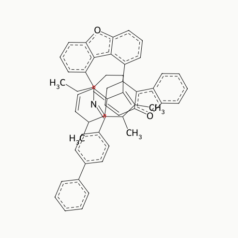 CCC1(c2cccc3oc4cccc(C5CC=Cc6oc7ccccc7c65)c4c23)CC/C(C2=CC=CC(C)C2)=C(\C)C(C)/C(c2ccc(-c3ccccc3)cc2)=N\1